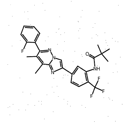 Cc1c(-c2ccccc2F)nn2cc(-c3ccc(C(F)(F)F)c(NC(=O)C(C)(C)C)c3)nc2c1C